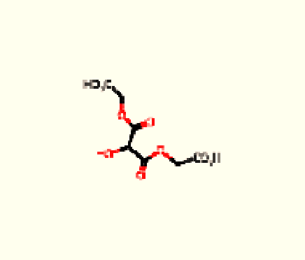 O=C(O)COC(=O)C(O)C(=O)OCC(=O)O